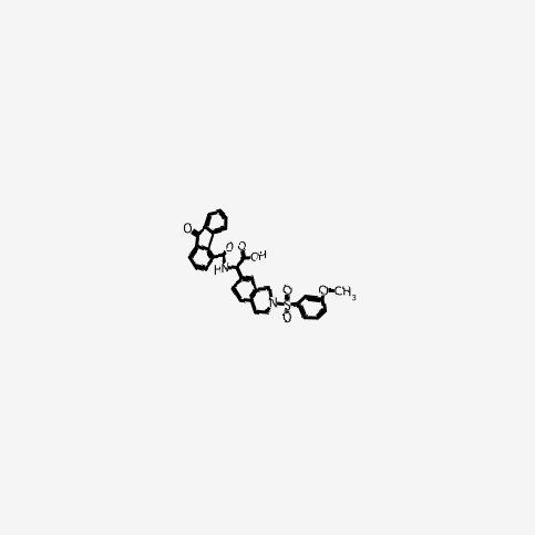 COc1cccc(S(=O)(=O)N2CCc3ccc(C(NC(=O)c4cccc5c4-c4ccccc4C5=O)C(=O)O)cc3C2)c1